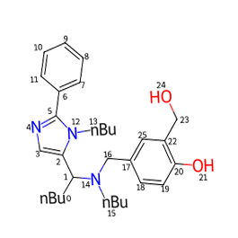 CCCCC(c1cnc(-c2ccccc2)n1CCCC)N(CCCC)Cc1ccc(O)c(CO)c1